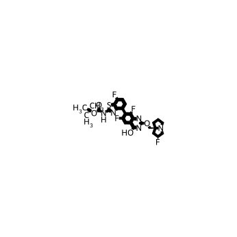 CC(C)(C)OC(=O)Nc1nc2c(-c3c(F)cc4c(O)nc(OC[C@@]56CCCN5C[C@H](F)C6)nc4c3F)ccc(F)c2s1